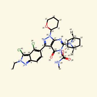 CCn1nc2ccc(-c3nn(C4CCCCO4)c4nc(N5[C@H]6CC[C@@H]5[C@H](OC(=O)NC)C6)n(C)c(=O)c34)c(Cl)c2c1Cl